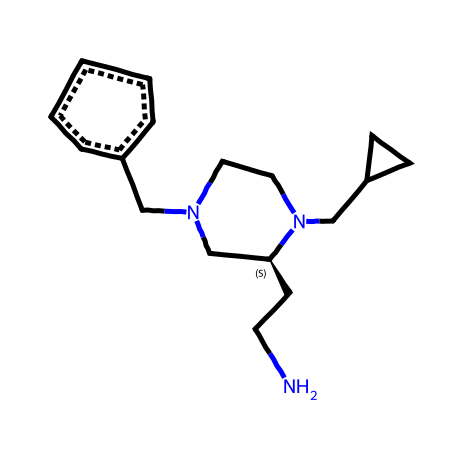 NCC[C@H]1CN(Cc2ccccc2)CCN1CC1CC1